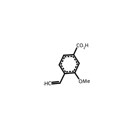 [CH]=Cc1ccc(C(=O)O)cc1OC